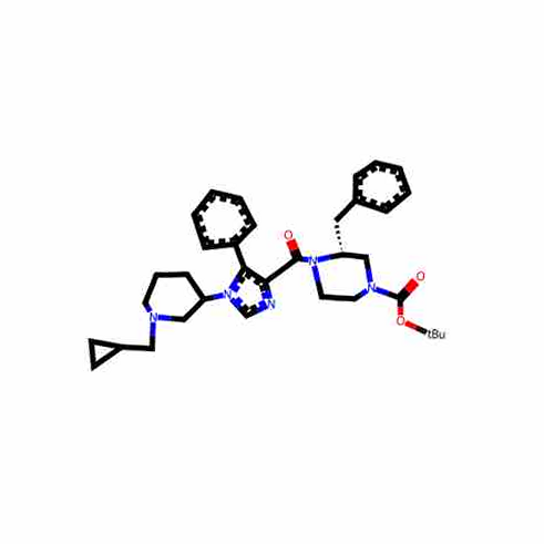 CC(C)(C)OC(=O)N1CCN(C(=O)c2ncn(C3CCCN(CC4CC4)C3)c2-c2ccccc2)[C@H](Cc2ccccc2)C1